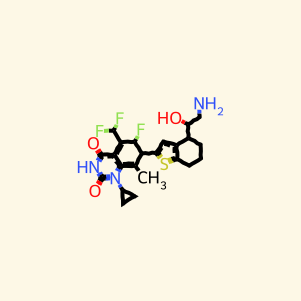 CC1=c2c(c(=O)[nH]c(=O)n2C2CC2)=C(C(F)F)C(F)C1c1cc2c(s1)CCCC2C(O)CN